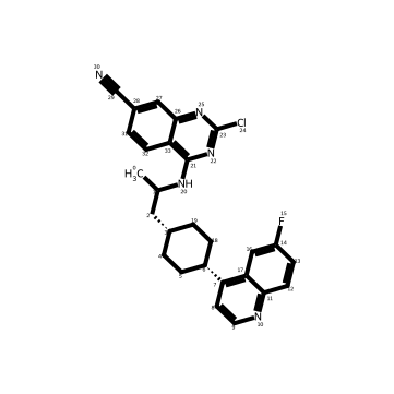 CC(C[C@H]1CC[C@@H](c2ccnc3ccc(F)cc32)CC1)Nc1nc(Cl)nc2cc(C#N)ccc12